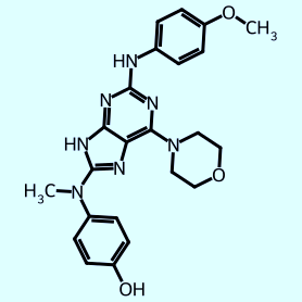 COc1ccc(Nc2nc(N3CCOCC3)c3nc(N(C)c4ccc(O)cc4)[nH]c3n2)cc1